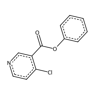 O=C(Oc1ccccc1)c1cnccc1Cl